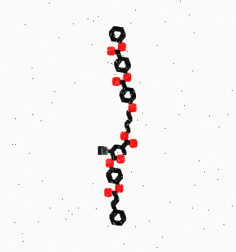 CCC(CC(C)C(=O)OCCCCOc1ccc(C(=O)Oc2ccc(C(=O)Oc3ccccc3)cc2)cc1)C(=O)Oc1ccc(OC(=O)/C=C/c2ccccc2)cc1